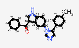 Cc1ccc(-c2cncn2-c2ccc3[nH]cc(C(=O)c4ccccc4)c3c2)cc1